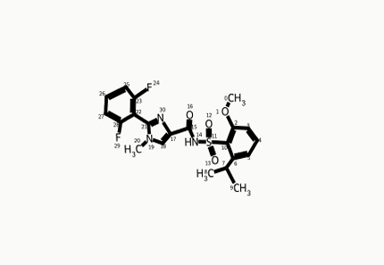 COc1cccc(C(C)C)c1S(=O)(=O)NC(=O)c1cn(C)c(-c2c(F)cccc2F)n1